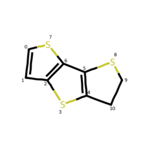 c1cc2sc3c(c2s1)SCC3